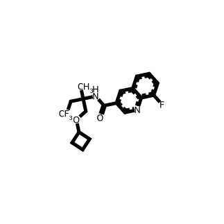 CC(COC1CCC1)(CC(F)(F)F)NC(=O)c1cnc2c(F)cccc2c1